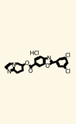 Cl.O=C(OC1CCc2nccn2C1)c1ccc2nc(-c3cc(Cl)cc(Cl)c3)oc2c1